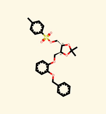 Cc1ccc(S(=O)(=O)OC[C@@H]2OC(C)(C)O[C@H]2COc2ccccc2OCc2ccccc2)cc1